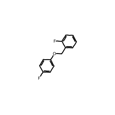 Fc1c[c]c(OCc2ccccc2F)cc1